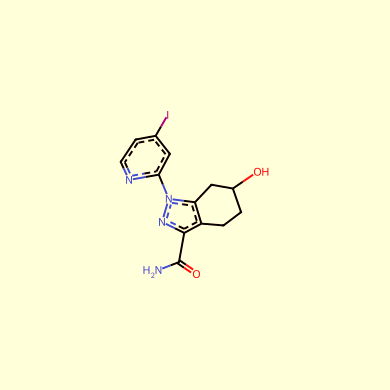 NC(=O)c1nn(-c2cc(I)ccn2)c2c1CCC(O)C2